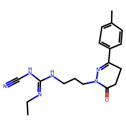 CCN=C(NC#N)NCCCN1N=C(c2ccc(C)cc2)CCC1=O